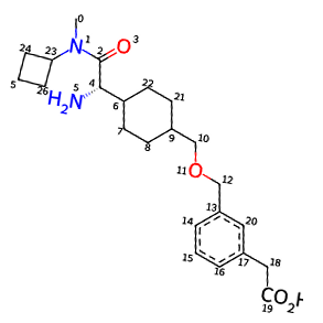 CN(C(=O)[C@@H](N)C1CCC(COCc2cccc(CC(=O)O)c2)CC1)C1CCC1